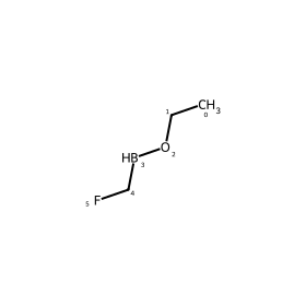 CCOBCF